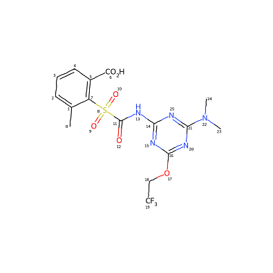 Cc1cccc(C(=O)O)c1S(=O)(=O)C(=O)Nc1nc(OCC(F)(F)F)nc(N(C)C)n1